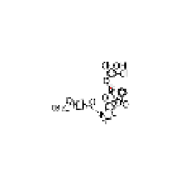 CC1CC(C)(C)N(CCCC(=O)N2CCN(C(=O)OC(C)(C)C)CC2)c2cc3c(cc21)C1(OC(=O)c2ccccc21)c1ccc(Oc2cc(Cl)c(O)c(Cl)c2)cc1O3